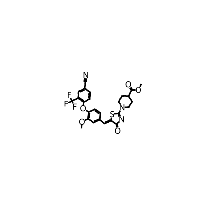 COC(=O)C1CCN(C2=NC(=O)/C(=C/c3ccc(Oc4ccc(C#N)cc4C(F)(F)F)c(OC)c3)S2)CC1